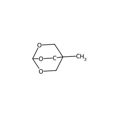 CC12COC(OC1)OC2